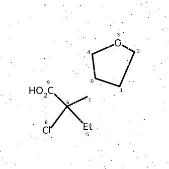 C1CCOC1.CCC(C)(Cl)C(=O)O